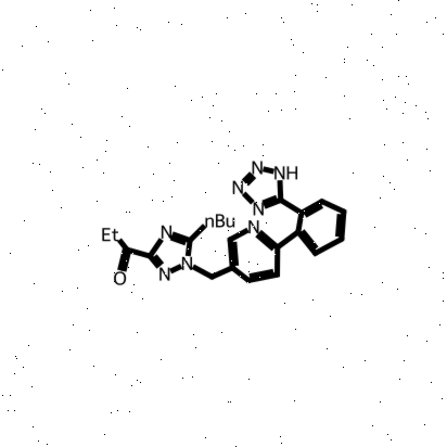 CCCCc1nc(C(=O)CC)nn1Cc1ccc(-c2ccccc2-c2nnn[nH]2)nc1